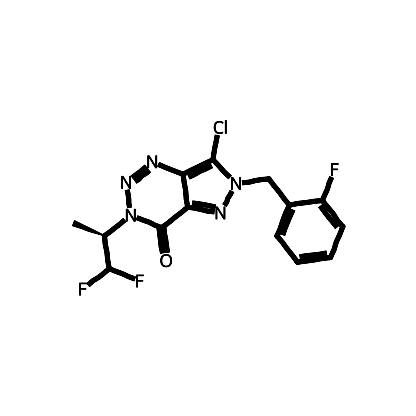 C[C@H](C(F)F)n1nnc2c(Cl)n(Cc3ccccc3F)nc2c1=O